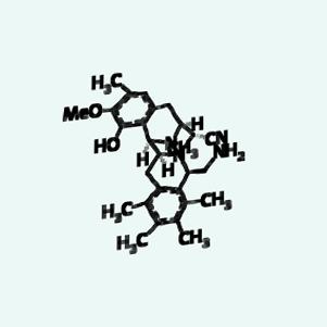 COc1c(C)cc2c(c1O)[C@@H]1[C@@H]3Cc4c(C)c(C)c(C)c(C)c4[C@H](CN)N3[C@@H](C#N)[C@H](C2)N1C